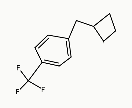 FC(F)(F)c1ccc(CC2[CH]CC2)cc1